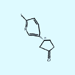 O=C1CC[C@@H](c2ccc(I)nc2)C1